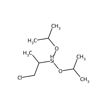 CC(C)O[SiH](OC(C)C)C(C)CCl